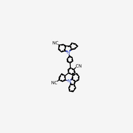 N#Cc1ccc(-c2ccc(C#N)c(-c3ccc(-n4c5ccccc5c5cc(C#N)ccc54)cc3)c2)c(-n2c3ccccc3c3ccccc32)c1